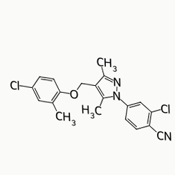 Cc1cc(Cl)ccc1OCc1c(C)nn(-c2ccc(C#N)c(Cl)c2)c1C